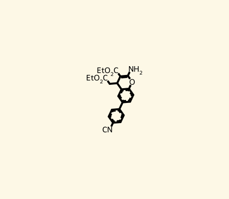 [C-]#[N+]c1ccc(-c2ccc3c(c2)C(CC(=O)OCC)C(C(=O)OCC)=C(N)O3)cc1